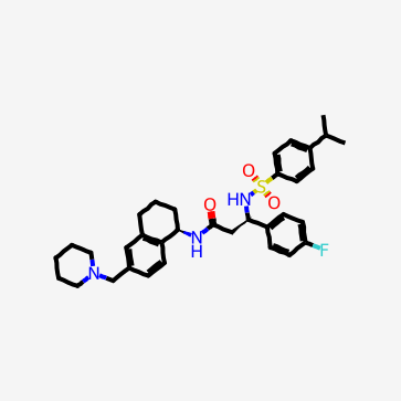 CC(C)c1ccc(S(=O)(=O)N[C@H](CC(=O)N[C@@H]2CCCc3cc(CN4CCCCC4)ccc32)c2ccc(F)cc2)cc1